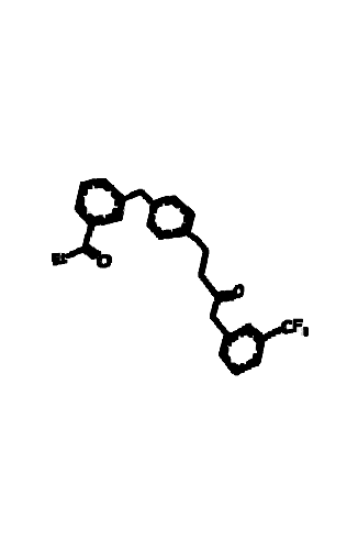 CCC(=O)c1cccc(Cc2ccc(CCC(=O)Cc3cccc(C(F)(F)F)c3)cc2)c1